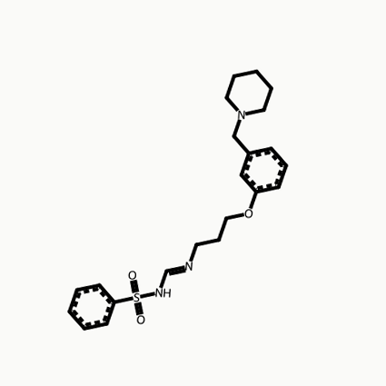 O=S(=O)(NC=NCCCOc1cccc(CN2CCCCC2)c1)c1ccccc1